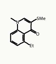 CCc1cccc2c1c(=O)c(SC)cn2C